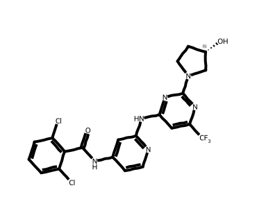 O=C(Nc1ccnc(Nc2cc(C(F)(F)F)nc(N3CC[C@H](O)C3)n2)c1)c1c(Cl)cccc1Cl